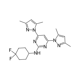 Cc1cc(C)n(-c2cc(-n3nc(C)cc3C)nc(NC3CCC(F)(F)CC3)n2)n1